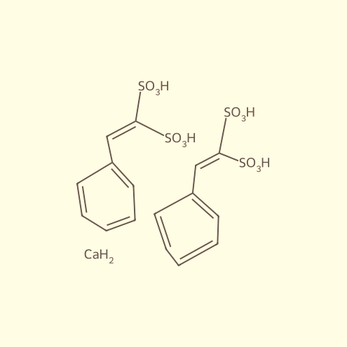 O=S(=O)(O)C(=Cc1ccccc1)S(=O)(=O)O.O=S(=O)(O)C(=Cc1ccccc1)S(=O)(=O)O.[CaH2]